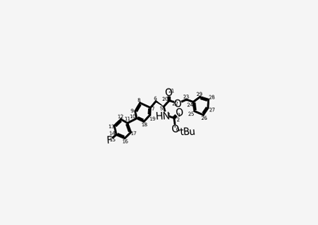 CC(C)(C)OC(=O)N[C@@H](Cc1ccc(-c2ccc(F)cc2)cc1)C(=O)OCc1ccccc1